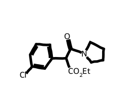 CCOC(=O)C(C(=O)N1CCCC1)c1cccc(Cl)c1